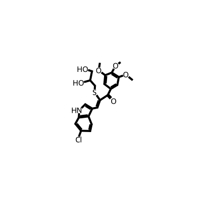 COc1cc(C(=O)C(=Cc2c[nH]c3cc(Cl)ccc23)SCC(O)CO)cc(OC)c1OC